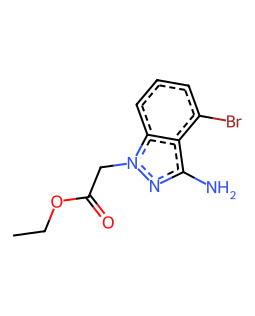 CCOC(=O)Cn1nc(N)c2c(Br)cccc21